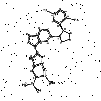 COc1cc2nc(-c3cnn4ccc(N5CCC[C@@H]5c5cc(F)ccc5F)nc34)[nH]c2cc1C(C)O